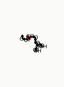 Cc1ccc(C(=O)c2ccc(Oc3ccc(C(c4ccc(Oc5ccc(C(=O)c6ccc(-c7ccc(C)c(C(=O)c8ccc(OCCCS(=O)(=O)O)cc8OCCCS(=O)(=O)O)c7)cc6)cc5)cc4)(C(F)(F)F)C(F)(F)F)cc3)cc2)cc1